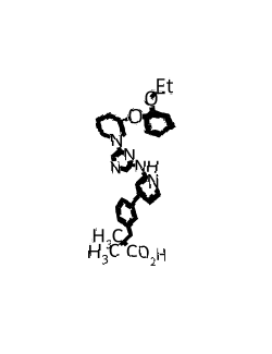 CCOc1ccccc1O[C@@H]1CCCN(c2cncc(Nc3cc(-c4cccc(CC(C)(C)C(=O)O)c4)ccn3)n2)C1